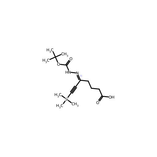 CC(C)(C)OC(=O)N/N=C(\C#C[Si](C)(C)C)CCCC(=O)O